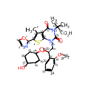 Cc1c(-c2ncco2)sc2c1c(=O)n(C(C)(C)C(=O)O)c(=O)n2C[C@H](OC1CCC(O)CC1)c1ccccc1OC(C)C